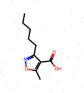 CCCCCc1noc(C)c1C(=O)O